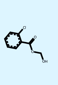 O=C(OCO)c1ccccc1Cl